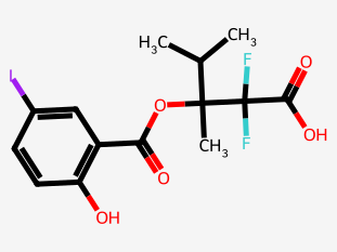 CC(C)C(C)(OC(=O)c1cc(I)ccc1O)C(F)(F)C(=O)O